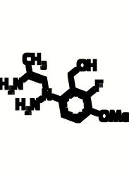 COc1ccc(N(N)/C=C(/C)N)c(CO)c1F